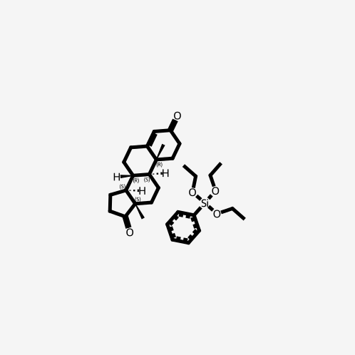 CCO[Si](OCC)(OCC)c1ccccc1.C[C@]12CCC(=O)C=C1CC[C@@H]1[C@@H]2CC[C@]2(C)C(=O)CC[C@@H]12